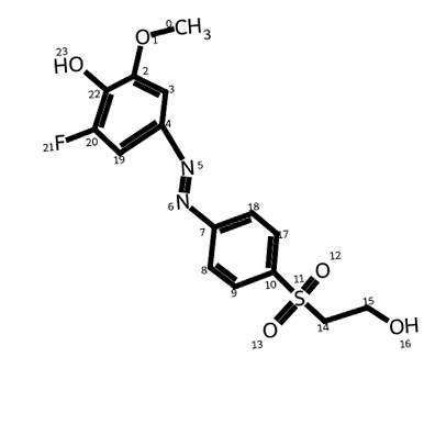 COc1cc(N=Nc2ccc(S(=O)(=O)CCO)cc2)cc(F)c1O